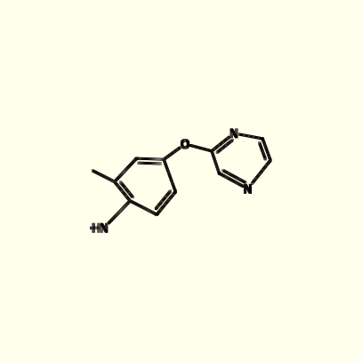 Cc1cc(Oc2cnccn2)ccc1[NH]